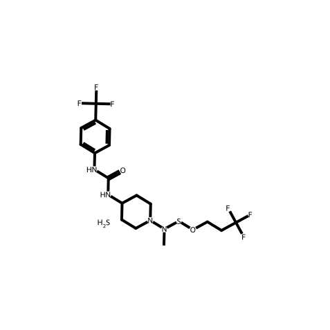 CN(SOCCC(F)(F)F)N1CCC(NC(=O)Nc2ccc(C(F)(F)F)cc2)CC1.S